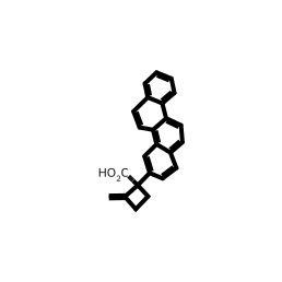 C=C1CCC1(C(=O)O)c1ccc2ccc3c4ccccc4ccc3c2c1